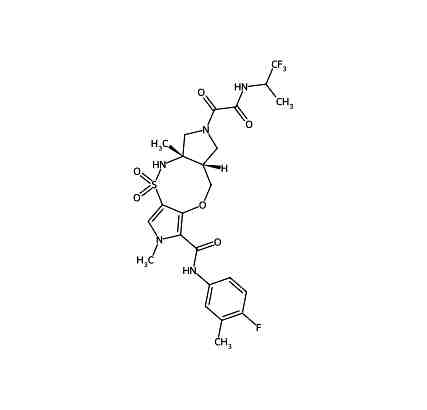 Cc1cc(NC(=O)c2c3c(cn2C)S(=O)(=O)N[C@]2(C)CN(C(=O)C(=O)NC(C)C(F)(F)F)C[C@@H]2CO3)ccc1F